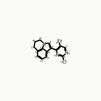 CCc1cnc(Cl)nc1-c1cn2c3c(cccc13)CCC2